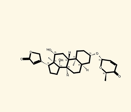 C[C@H]1O[C@H](O[C@H]2CC[C@@]3(C)[C@H](CC[C@@H]4[C@@H]3C[C@@H](O)[C@]3(C)[C@@H](C5=CC(=O)OC5)CC[C@]43O)C2)C=CC1=O